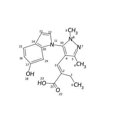 CCC(=Cc1c(C)nn(C)c1-n1ccc2ccc(O)cc21)C(=O)O